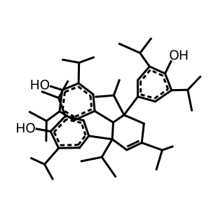 CC(C)C1=CC(c2cc(C(C)C)c(O)c(C(C)C)c2)(C(C)C)C(c2cc(C(C)C)c(O)c(C(C)C)c2)C(c2cc(C(C)C)c(O)c(C(C)C)c2)(C(C)C)C1